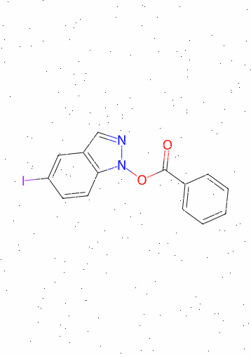 O=C(On1ncc2cc(I)ccc21)c1ccccc1